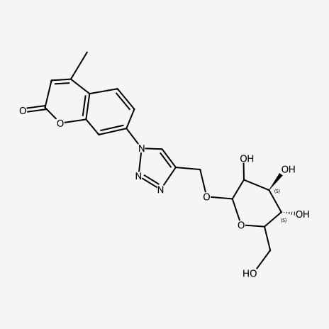 Cc1cc(=O)oc2cc(-n3cc(COC4OC(CO)[C@@H](O)[C@H](O)C4O)nn3)ccc12